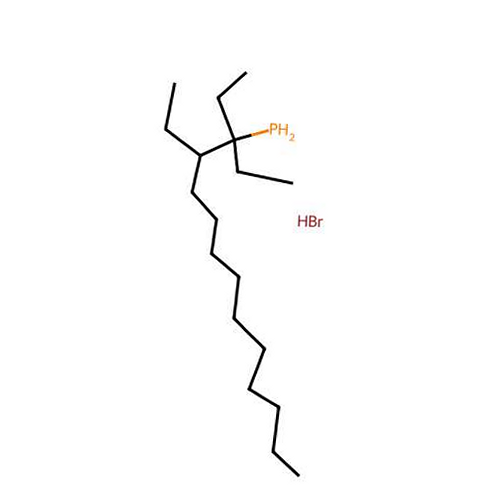 Br.CCCCCCCCCCC(CC)C(P)(CC)CC